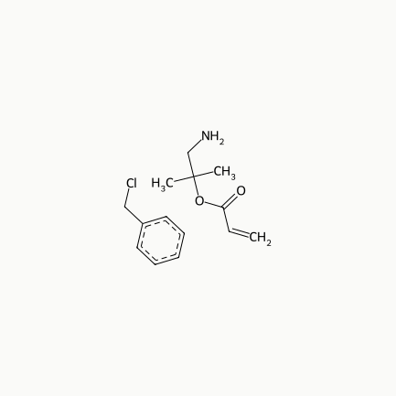 C=CC(=O)OC(C)(C)CN.ClCc1ccccc1